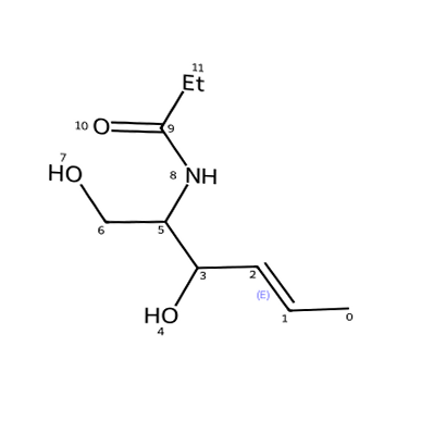 C/C=C/C(O)C(CO)NC(=O)CC